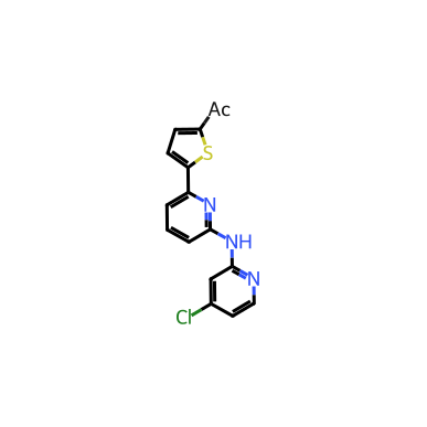 CC(=O)c1ccc(-c2cccc(Nc3cc(Cl)ccn3)n2)s1